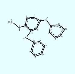 CNc1ccc(Sc2ccccc2)cc1Sc1ccccc1